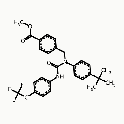 COC(=O)c1ccc(CN(C(=O)Nc2ccc(OC(F)(F)F)cc2)c2ccc(C(C)(C)C)cc2)cc1